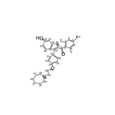 Cc1cc(F)cc(C)c1C(=O)c1sc2cc(O)ccc2c1-c1ccc(OCCN2CCCCCC2)cc1